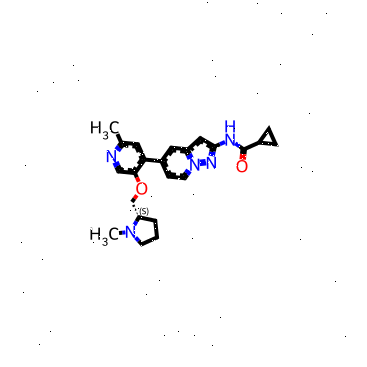 Cc1cc(-c2ccn3nc(NC(=O)C4CC4)cc3c2)c(OC[C@@H]2CCCN2C)cn1